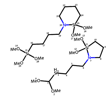 COC(OC)[SiH2]CCCN1CCC[Si]1(OC)OC.CO[Si](CCCCN1CCCC[Si]1(OC)OC)(OC)OC